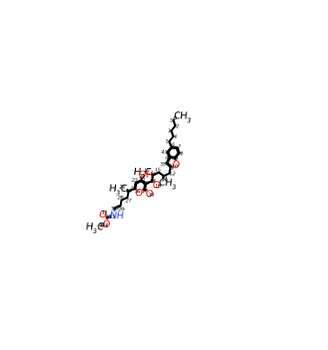 CCCCCCc1ccc2oc(CC(C)CC(C)C(=O)c3c(O)cc(C(C)CC/C=C/NC(=O)OC)oc3=O)cc2c1